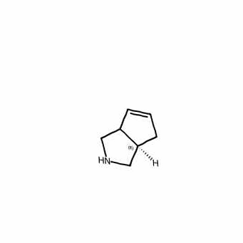 C1=CC2CNC[C@@H]2C1